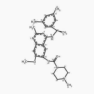 COc1cc2nc(C)nc(N[C@H](C)c3cc(C)cc(N)c3)c2cc1OC(=O)N1CCN(C)CC1